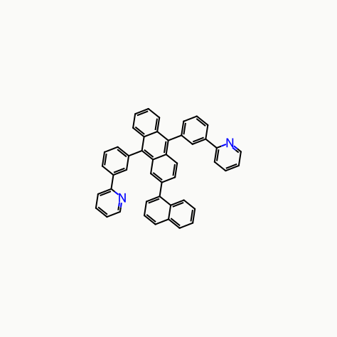 c1ccc(-c2cccc(-c3c4ccccc4c(-c4cccc(-c5ccccn5)c4)c4cc(-c5cccc6ccccc56)ccc34)c2)nc1